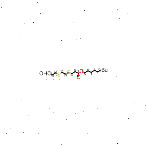 CCC(C)CCCCCOC(=O)CCSCCSCCC=O